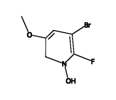 COC1=CC(Br)=C(F)N(O)C1